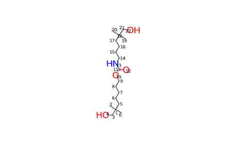 CC(C)(CO)CCCCCOC(=O)NCCCCC(C)(C)CO